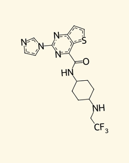 O=C(NC1CCC(NCC(F)(F)F)CC1)c1nc(-n2ccnc2)nc2ccsc12